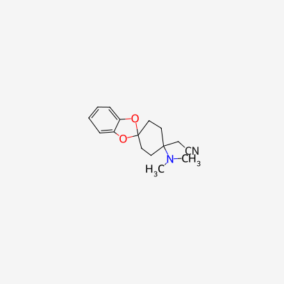 CN(C)C1(CC#N)CCC2(CC1)Oc1ccccc1O2